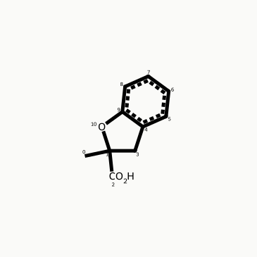 CC1(C(=O)O)Cc2ccccc2O1